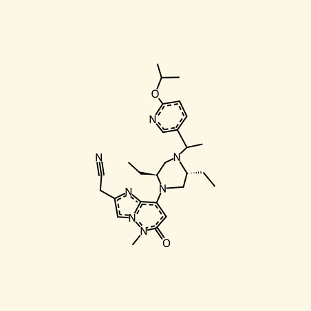 CC[C@H]1CN(C(C)c2ccc(OC(C)C)nc2)[C@H](CC)CN1c1cc(=O)n(C)n2cc(CC#N)nc12